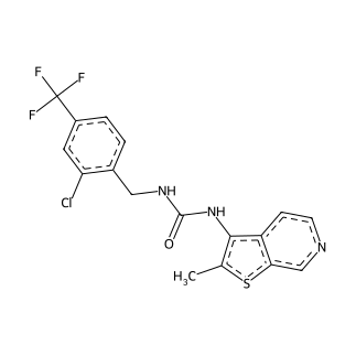 Cc1sc2cnccc2c1NC(=O)NCc1ccc(C(F)(F)F)cc1Cl